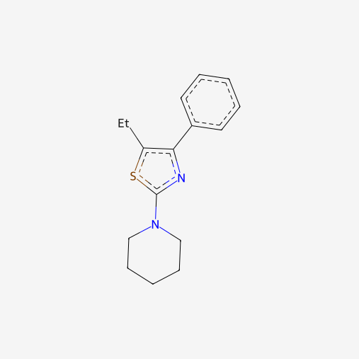 CCc1sc(N2CCCCC2)nc1-c1ccccc1